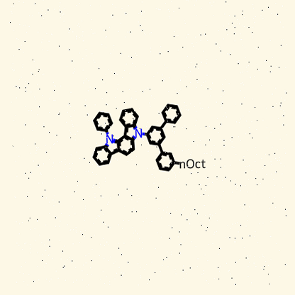 CCCCCCCCc1cccc(-c2cc(-c3ccccc3)cc(-n3c4ccccc4c4c3ccc3c5ccccc5n(-c5ccccc5)c34)c2)c1